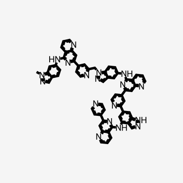 Cn1ncc2ccc(Nc3nc(-c4ccnc(Cn5ncc6cc(Nc7nc(-c8ccnc(-c9cc(Nc%10nc(-c%11ccncc%11)cc%11ncccc%10%11)c%10cn[nH]c%10c9)c8)cc8ncccc78)ccc65)c4)cc4ncccc34)cc21